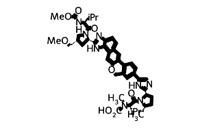 COC[C@H]1C[C@@H](c2nc3ccc4cc5c(cc4c3[nH]2)OCc2cc(-c3cnc([C@@H]4CC[C@H](C)N4C(=O)[C@H](C(C)C)N(C)C(=O)O)[nH]3)ccc2-5)N(C(=O)[C@@H](NC(=O)OC)C(C)C)C1